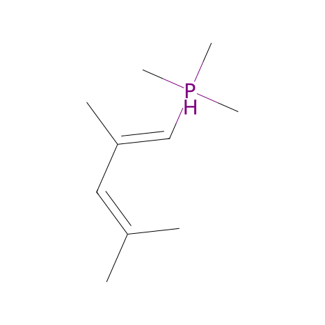 CC(C)=CC(C)=C[PH](C)(C)C